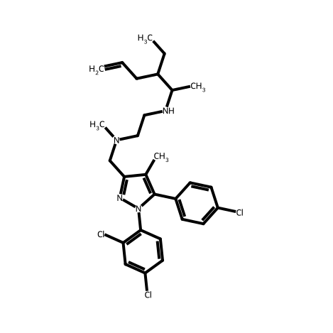 C=CCC(CC)C(C)NCCN(C)Cc1nn(-c2ccc(Cl)cc2Cl)c(-c2ccc(Cl)cc2)c1C